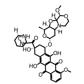 COc1cccc2c1C(=O)c1c(O)c3c(c(O)c1C2=O)C[C@@](O)(C(=O)N1C[C@H]2CCC1CN2)C[C@@H]3O[C@H]1C[C@H]2[C@H](O[C@@H]3[C@@H](OC)OCCN32)[C@H](C)O1